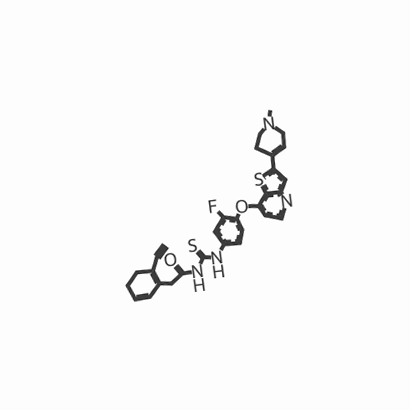 C#CC1=C(CC(=O)NC(=S)Nc2ccc(Oc3ccnc4cc(C5=CCN(C)CC5)sc34)c(F)c2)C=CCC1